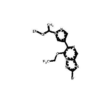 CCOC(C)n1cc(-c2ncc3nc(Br)nn3c2OCC(F)(F)F)cn1